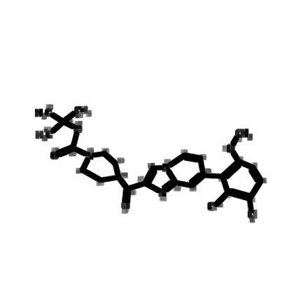 COc1ccc(Cl)c(Cl)c1-c1ccn2cc(C(=O)C3CCN(C(=O)OC(C)(C)C)CC3)nc2c1